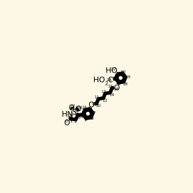 O=C1CC(c2cccc(OCCCCCCOc3cccc(O)c3C(=O)O)c2)S(=O)(=O)N1